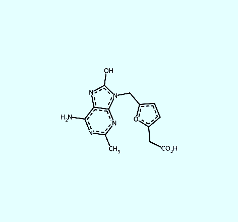 Cc1nc(N)c2nc(O)n(Cc3ccc(CC(=O)O)o3)c2n1